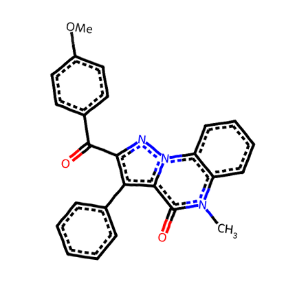 COc1ccc(C(=O)c2nn3c(c2-c2ccccc2)c(=O)n(C)c2ccccc23)cc1